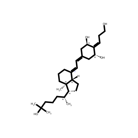 C[C@H](CCCC(C)(C)O)[C@H]1CC[C@H]2/C(=C/C=C3C[C@@H](O)C(=CCCO)[C@H](O)C3)CCC[C@]12C